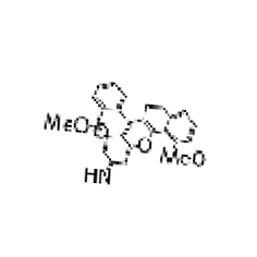 COC(=O)c1ccccc1-c1c2ccc(=N)cc-2oc2c1ccc1cccc(OC)c12